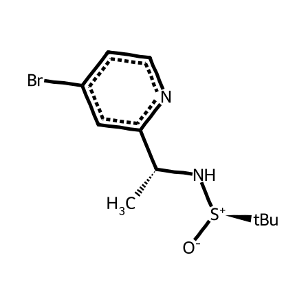 C[C@@H](N[S@+]([O-])C(C)(C)C)c1cc(Br)ccn1